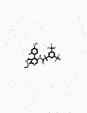 CCn1ncc2c(-c3ccc(OC)cc3C)c(N(C)C(=O)C(C)(C)c3cc(C(F)(F)F)cc(C(F)(F)F)c3)cnc21